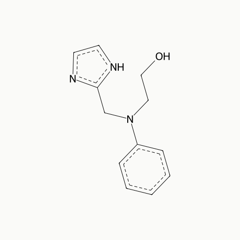 OCCN(Cc1ncc[nH]1)c1ccccc1